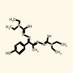 CCN(CC)/C(S)=N/N=C(C)/C(=N/N=C(\S)N(CC)CC)c1ccc(O)cc1